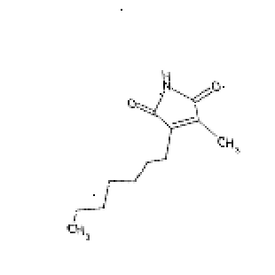 CCCCCCCC1=C(C)C(=O)NC1=O